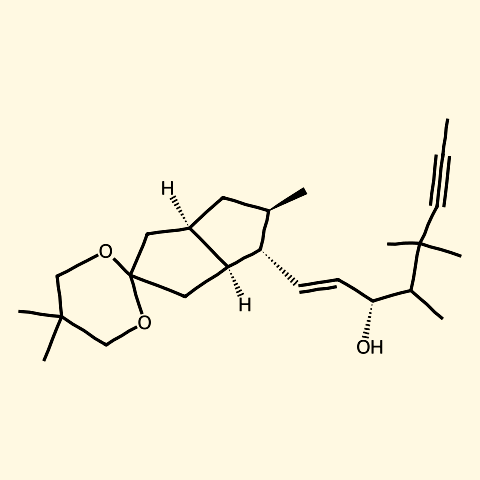 CC#CC(C)(C)C(C)[C@H](O)/C=C/[C@@H]1[C@H]2CC3(C[C@H]2C[C@H]1C)OCC(C)(C)CO3